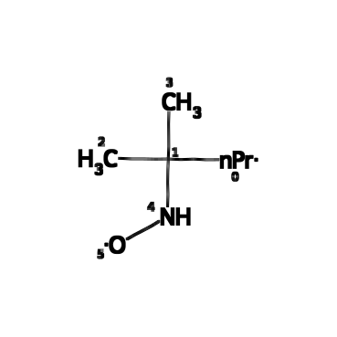 CC[CH]C(C)(C)N[O]